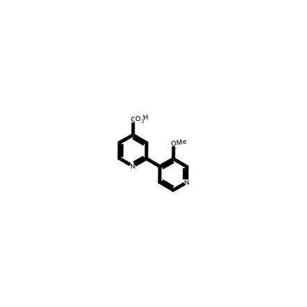 COc1cnccc1-c1cc(C(=O)O)ccn1